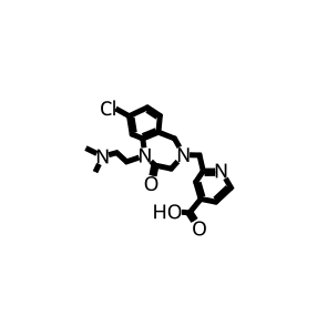 CN(C)CCN1C(=O)CN(Cc2cc(C(=O)O)ccn2)Cc2ccc(Cl)cc21